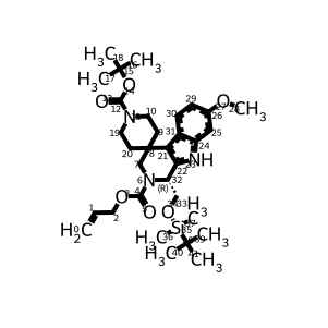 C=CCOC(=O)N1CC2(CCN(C(=O)OC(C)(C)C)CC2)c2c([nH]c3cc(OC)ccc23)[C@@H]1CO[Si](C)(C)C(C)(C)C